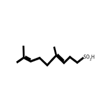 CC(C)=CCC/C(C)=C/CCS(=O)(=O)O